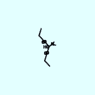 CCCCCCCC/C=C\CCCCCCCC(=O)OCCCCCCC(O)(CCCCCCOC(=O)CCCCCCC/C=C\CCCCCCCC)CCCCN(CCC)CCCC